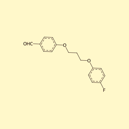 O=Cc1ccc(OCCCOc2ccc(F)cc2)cc1